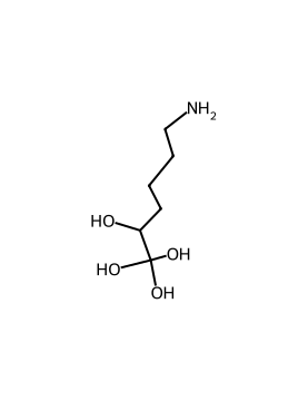 NCCCCC(O)C(O)(O)O